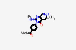 CNC(=O)c1ccc(-n2c(NC(C)C)nc3c(c2=O)C[C@@H](C)NC3)cc1